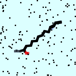 C=C/C=C/CCCCCCCCC(O)CCCCC